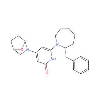 O=c1cc(N2CC3CCC2O3)cc(N2CCCCC[C@@H]2Cc2ccccc2)[nH]1